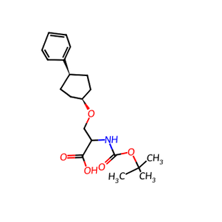 CC(C)(C)OC(=O)NC(CO[C@H]1CC[C@@H](c2ccccc2)CC1)C(=O)O